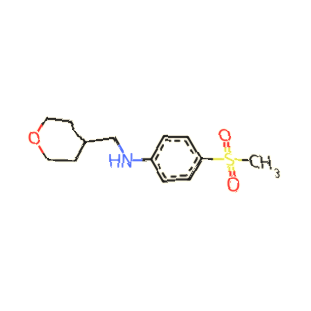 CS(=O)(=O)c1ccc(NCC2CCOCC2)cc1